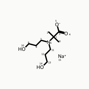 CC(C)(C(=O)[O-])N(CCCO)CCCO.[Na+]